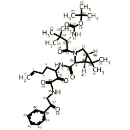 C=CCCC(NC(=O)[C@@H]1[C@@H]2[C@H](CN1C(=O)[C@@H](NC(=O)OC(C)(C)C)C(C)(C)C)C2(C)C)C(=O)C(=O)NCC(=O)c1ccccc1